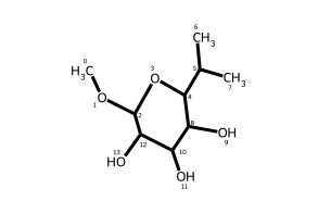 COC1OC(C(C)C)C(O)C(O)C1O